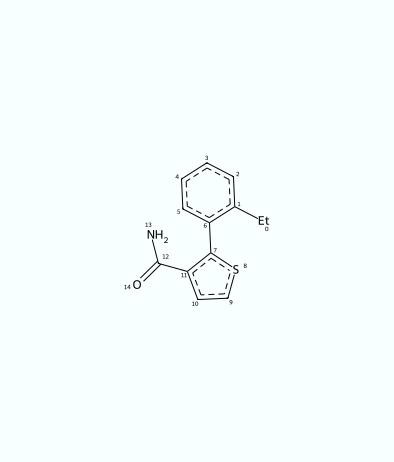 CCc1ccccc1-c1sccc1C(N)=O